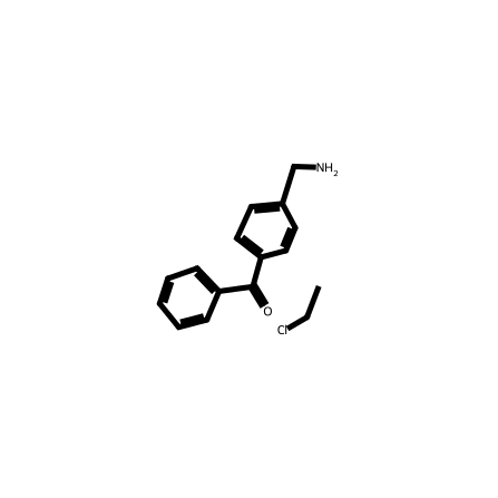 CCCl.NCc1ccc(C(=O)c2ccccc2)cc1